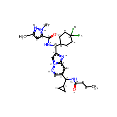 Cc1cc(C(=O)N[C@H](c2cn3ncc(C(NC(=O)CCC(F)(F)F)C4CC4)cc3n2)C2CCC(F)(F)CC2)n(C(C)C)n1